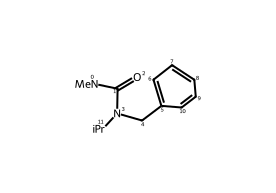 CNC(=O)N(Cc1ccccc1)C(C)C